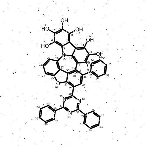 Oc1c(O)c(O)c2c(c1O)c1c(O)c(O)c(O)c(O)c1n2-c1cccc2oc3c(-c4nc(-c5ccccc5)nc(-c5ccccc5)n4)cc(-c4ccccc4)cc3c12